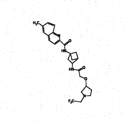 Cc1ccc2nc(C(=O)NC34CC(C3)C(NC(=O)COC3CCN(CC(F)(F)F)C3)C4)ccc2c1